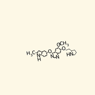 COc1cc2c(Oc3ccc4[nH]c(C)cc4c3)ncnc2cc1OCCC1CCCN1